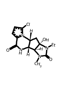 CCN1C(=O)N(C)[C@H]2[C@@H]3NC(=O)c4ccc(Cl)n4[C@@H]3C[C@]21O